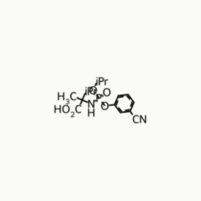 CC(C)OP(=O)(NC(C)(C(=O)O)C(C)C)Oc1cccc(C#N)c1